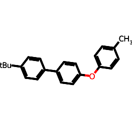 Cc1ccc(Oc2ccc(-c3ccc(C(C)(C)C)cc3)cc2)cc1